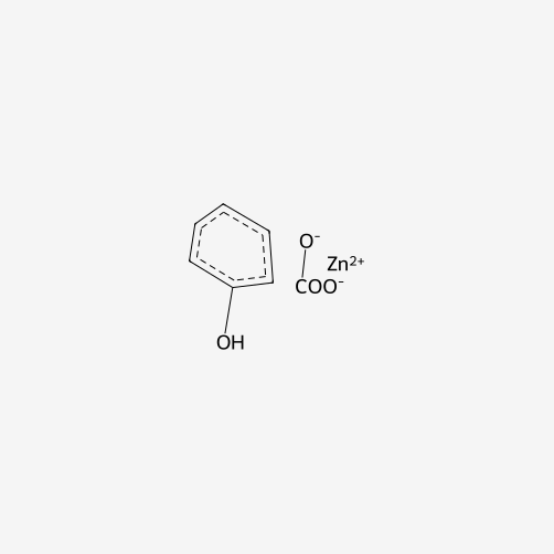 O=C([O-])[O-].Oc1ccccc1.[Zn+2]